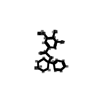 CCc1c(Br)cc(C(=O)OC2(c3ccccc3)CCNCC2)cc1OC